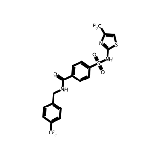 O=C(NCc1ccc(C(F)(F)F)cc1)c1ccc(S(=O)(=O)Nc2nc(C(F)(F)F)cs2)cc1